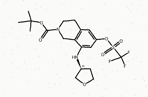 CC(C)(C)OC(=O)N1CCc2cc(OS(=O)(=O)C(F)(F)F)cc(N[C@H]3CCOC3)c2C1